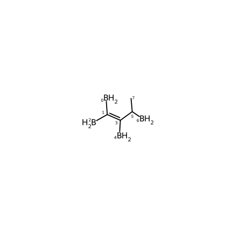 BC(B)=C(B)C(B)C